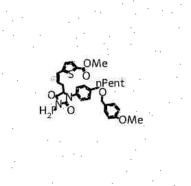 CCCCCC(OCc1ccc(OC)cc1)c1ccc(N2C(=O)N(P)C(=O)C2C/C=C\c2ccc(C(=O)OC)s2)cc1